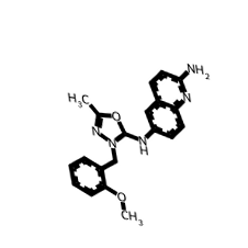 COc1ccccc1CN1N=C(C)OC1Nc1ccc2nc(N)ccc2c1